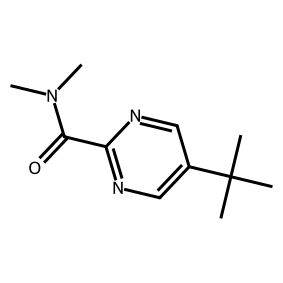 CN(C)C(=O)c1ncc(C(C)(C)C)cn1